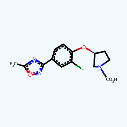 O=C(O)N1CC[C@H](Oc2ccc(-c3noc(C(F)(F)F)n3)cc2F)C1